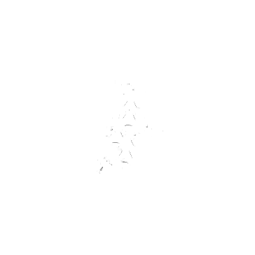 Cc1c2c(c(CC(C)C)c3ccc(CC(C)C)cc13)Sc1cc3cccc(CC(C)(C)C#N)c3c3cc[n+](C)c-2c13